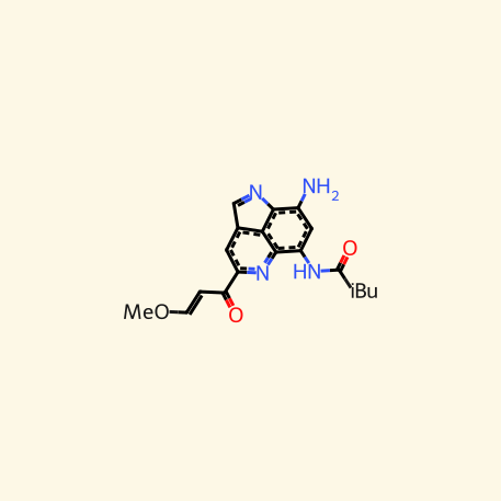 CCC(C)C(=O)Nc1cc(N)c2c3c(cc(C(=O)C=COC)nc13)C=N2